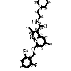 Cc1cc(OCc2c(F)cccc2F)n2nc(C)c(C(=O)NCCN3CCN(C)CC3)c2c1